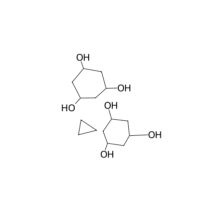 C1CC1.OC1CC(O)CC(O)C1.OC1CC(O)CC(O)C1